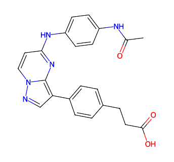 CC(=O)Nc1ccc(Nc2ccn3ncc(-c4ccc(CCC(=O)O)cc4)c3n2)cc1